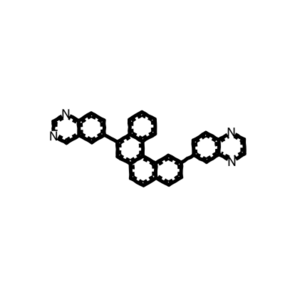 c1ccc2c(c1)c(-c1ccc3ncncc3c1)cc1ccc3ccc(-c4ccc5nccnc5c4)cc3c12